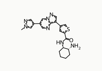 Cn1cc(-c2cnc3c(-c4csc(C(=O)N[C@@H]5CCCC[C@H]5N)c4)cnn3c2)cn1